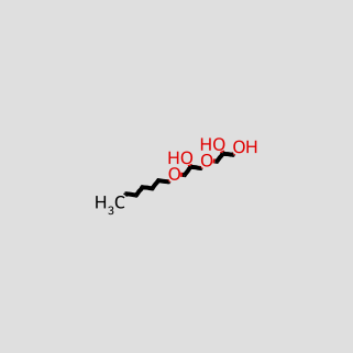 CCCCCCCOCC(O)COCC(O)CO